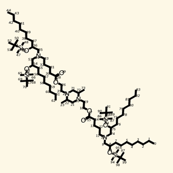 CCCCCCCCC(CN(CCCCC(=O)OCCN1CC(C)N(CCOC(=O)CCCCN(CC(CCCCCCCC)O[Si](C)(C)C(C)(C)C)CC(CCCCCCCC)O[Si](C)(C)C(C)(C)C)CC1C)CC(CCCCCCCC)O[Si](C)(C)C(C)(C)C)O[Si](C)(C)C(C)(C)C